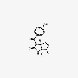 C[C@@H]1SC[C@H]2[C@@H]1NC(=O)N2C(=O)c1ccc(C(C)(C)C)cc1